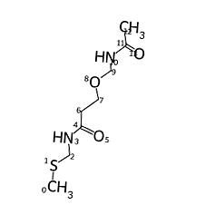 CSCNC(=O)CCOCNC(C)=O